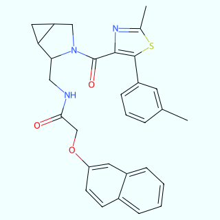 Cc1cccc(-c2sc(C)nc2C(=O)N2CC3CC3C2CNC(=O)COc2ccc3ccccc3c2)c1